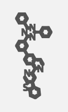 c1ccc(-c2nc(-c3ccccc3)nc(-c3cccc(-c4ccc5c(-c6cc7c(cn6)sc6ccccc67)nccc5c4)c3)n2)cc1